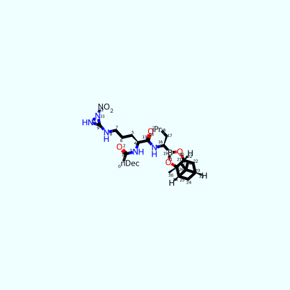 CCCCCCCCCCC(=O)N[C@@H](CCCNC1NN1[N+](=O)[O-])C(=O)N[C@@H](CC(C)C)B1O[C@@H]2C[C@@H]3C[C@@H](C3(C)C)[C@]2(C)O1